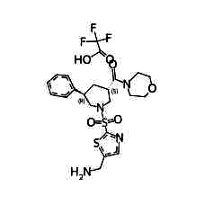 NCc1cnc(S(=O)(=O)N2C[C@@H](C(=O)N3CCOCC3)C[C@H](c3ccccc3)C2)s1.O=C(O)C(F)(F)F